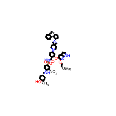 COCCOc1nc2[nH]ccc2cc1Oc1cc(N2CCC3(CC2)CN([C@@H]2CCC[C@@H]2c2ccccc2C(C)C)C3)ccc1C(=O)NS(=O)(=O)c1ccc(NC[C@H]2CC[C@](C)(O)CC2)c([N+](=O)[O-])c1